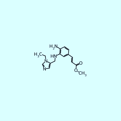 CCn1cncc1CNc1cc(/C=C/C(=O)OC)ccc1N